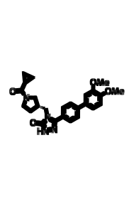 COc1ccc(-c2ccc(-c3n[nH]c(=O)n3C[C@@H]3CCN(C(=O)C4CC4)C3)cc2)cc1OC